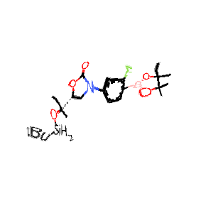 CC(C)(C)[SiH2]OC(C)(C)[C@H]1CN(c2ccc(B3OC(C)(C)C(C)(C)O3)c(F)c2)C(=O)O1